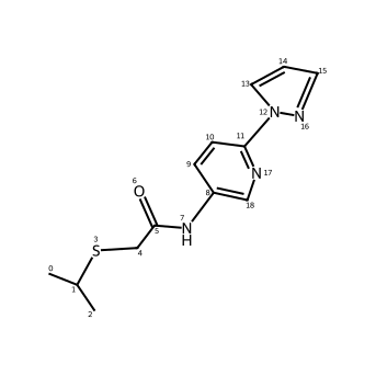 CC(C)SCC(=O)Nc1ccc(-n2cccn2)nc1